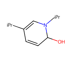 CC(C)C1=CN(C(C)C)C(O)C=C1